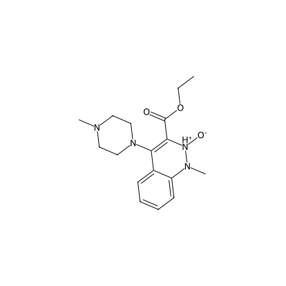 CCOC(=O)C1=C(N2CCN(C)CC2)c2ccccc2N(C)[NH+]1[O-]